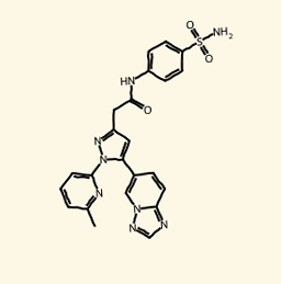 Cc1cccc(-n2nc(CC(=O)Nc3ccc(S(N)(=O)=O)cc3)cc2-c2ccc3ncnn3c2)n1